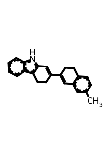 Cc1ccc2c(c1)C=C(C1=Cc3[nH]c4ccccc4c3CC1)CC2